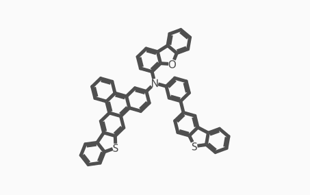 c1cc(-c2ccc3sc4ccccc4c3c2)cc(N(c2ccc3c(c2)c2ccccc2c2cc4c(cc32)sc2ccccc24)c2cccc3c2oc2ccccc23)c1